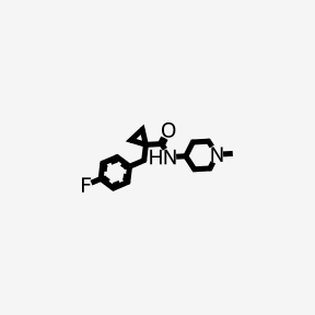 CN1CCC(NC(=O)C2(Cc3ccc(F)cc3)CC2)CC1